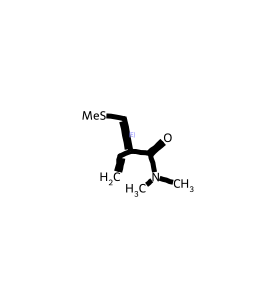 C=C/C(=C\SC)C(=O)N(C)C